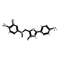 CCc1cc(N(C)Cc2sc(-c3ccc(C(F)(F)F)cc3)nc2C)ccc1O